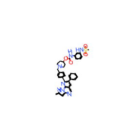 Cc1cc2ncc3cc(-c4ccccc4)c(-c4ccc(CN5CCC(OC(=O)Nc6cccc(NS(C)(=O)=O)c6)CC5)cc4)nc3n2n1